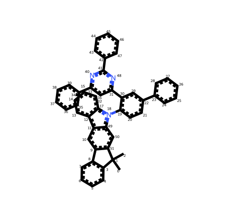 CC1(C)c2ccccc2-c2cc3c4ccccc4n(-c4ccc(-c5ccccc5)cc4-c4cc(-c5ccccc5)nc(-c5ccccc5)n4)c3cc21